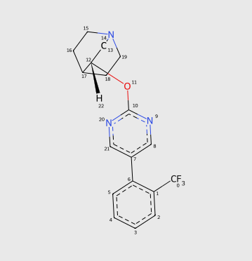 FC(F)(F)c1ccccc1-c1cnc(O[C@H]2CN3CCC2CC3)nc1